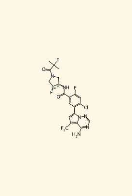 CC(C)(F)C(=O)N1C[C@H](F)[C@H](NC(=O)c2cc(-c3cc(C(F)(F)F)c4c(N)ncnn34)c(Cl)cc2F)C1